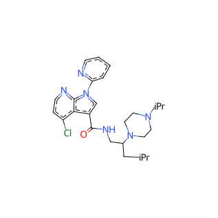 CC(C)CC(CNC(=O)c1cn(-c2ccccn2)c2nccc(Cl)c12)N1CCN(C(C)C)CC1